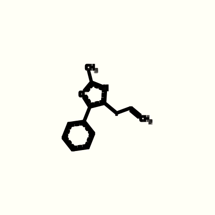 C=C[CH]c1nc(C)oc1-c1ccccc1